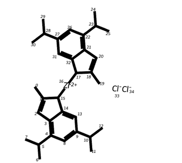 CC1=Cc2c(C(C)C)cc(C(C)C)cc2[CH]1[Zr+2][CH]1C(C)=Cc2c(C(C)C)cc(C(C)C)cc21.[Cl-].[Cl-]